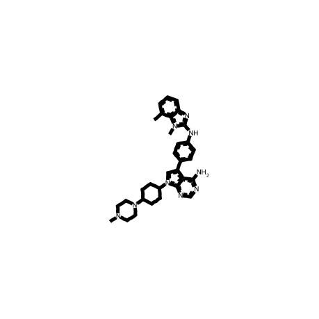 Cc1cccc2nc(Nc3ccc(-c4cn(C5CCC(N6CCN(C)CC6)CC5)c5ncnc(N)c45)cc3)n(C)c12